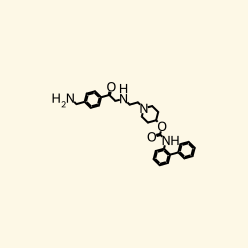 NCc1ccc(C(=O)CNCCN2CCC(OC(=O)Nc3ccccc3-c3ccccc3)CC2)cc1